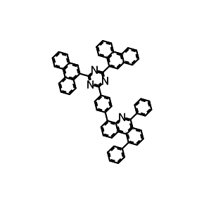 c1ccc(-c2nc3c(-c4ccc(-c5nc(-c6cc7ccccc7c7ccccc67)nc(-c6cc7ccccc7c7ccccc67)n5)cc4)cccc3c3c(-c4ccccc4)cccc23)cc1